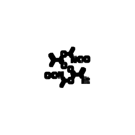 C=C(C)C(=O)OC(C)N=C=O.C=C(CC)C(=O)OC(C)N=C=O